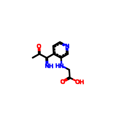 CC(=O)C(=N)c1ccncc1NCC(=O)O